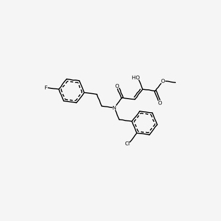 COC(=O)/C(O)=C/C(=O)N(CCc1ccc(F)cc1)Cc1ccccc1Cl